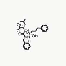 CC(C)C[C@H](NC(=O)[C@H](Cc1ccccc1)NP(=O)(O)CCCc1ccccc1)C(=O)O